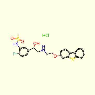 CS(=O)(=O)Nc1cc(C(O)CNCCOc2ccc3c(c2)sc2ccccc23)ccc1F.Cl